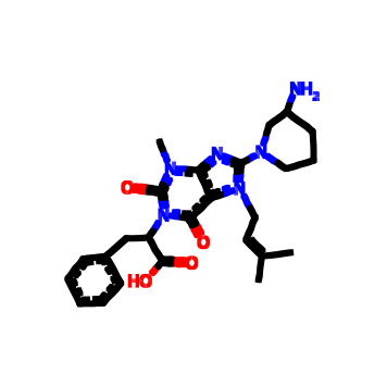 CC(C)=CCn1c(N2CCCC(N)C2)nc2c1c(=O)n(C(Cc1ccccc1)C(=O)O)c(=O)n2C